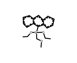 CCO[Si](COC)(OCC)c1c2ccccc2cc2ccccc12